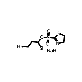 O=S(=O)(OC(S)CCS)C1=NCCS1.[NaH]